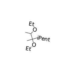 CCCC(C)C(C)(OCC)C(C)OCC